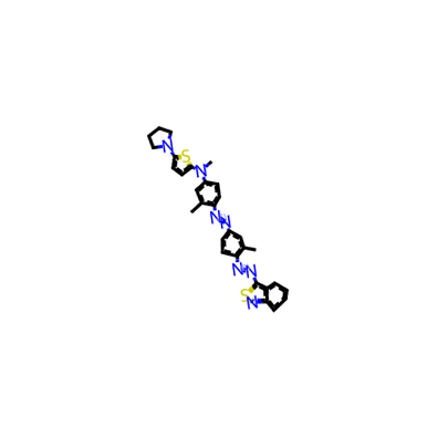 Cc1cc(N(C)c2ccc(N3CCCC3)s2)ccc1/N=N/c1ccc(/N=N/c2snc3ccccc23)c(C)c1